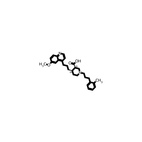 COc1ccc2nccc(CCC[C@@H]3CCN(CCCc4ccccc4C)C[C@@H]3C(=O)O)c2c1